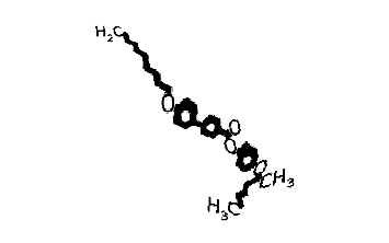 C=CCCCCCCCCOc1ccc(-c2ccc(C(=O)Oc3ccc(OC(C)CCCCC)cc3)cc2)cc1